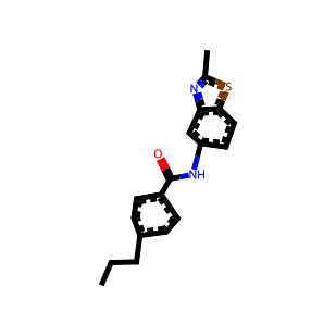 CCCc1ccc(C(=O)Nc2ccc3sc(C)nc3c2)cc1